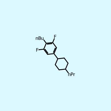 CCCCc1c(F)cc(C2CCC(CCC)CC2)cc1F